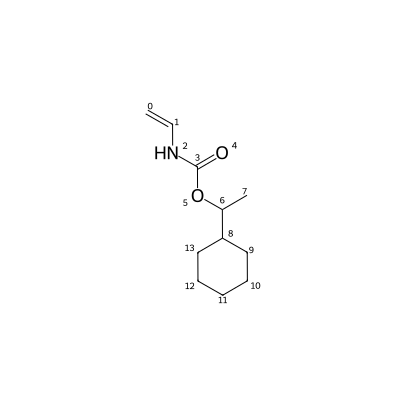 C=CNC(=O)OC(C)C1CCCCC1